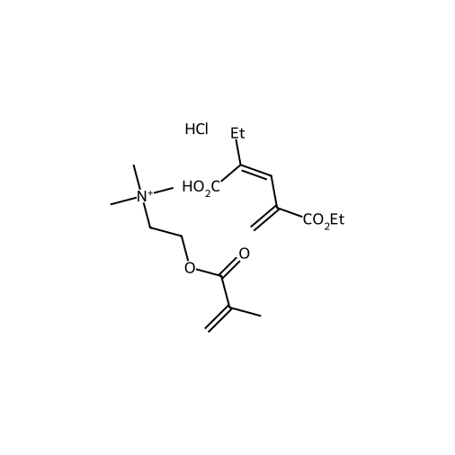 C=C(C)C(=O)OCC[N+](C)(C)C.C=C(C=C(CC)C(=O)O)C(=O)OCC.Cl